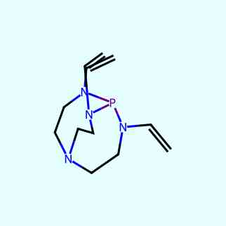 C=CN1CCN2CCN(C=C)P1N(C=C)CC2